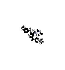 C=C(N)/N=C(C)\N=C(/N)c1cc(C(C)N2CCN(S(C)(=O)=O)CC2)cnc1Nc1ccc2scnc2c1